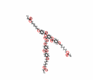 C=CC(=O)OCCCCCCCOc1ccc(C(=O)Oc2ccc(OC(=O)c3ccc(OCCCCCCCOC(=O)C=C)cc3)c(C(=O)OCCOc3ccc(OC(=O)c4ccc(OCCCCCCOC(=O)C=C)cc4)cc3)c2)cc1